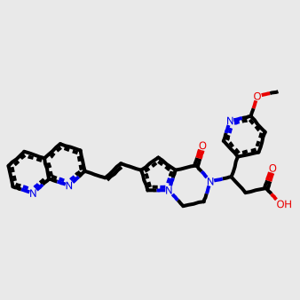 COc1ccc(C(CC(=O)O)N2CCn3cc(/C=C/c4ccc5cccnc5n4)cc3C2=O)cn1